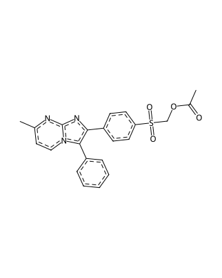 CC(=O)OCS(=O)(=O)c1ccc(-c2nc3nc(C)ccn3c2-c2ccccc2)cc1